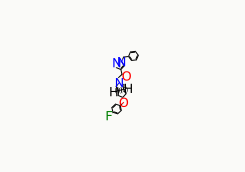 O=C(CN1C[C@H]2CC(Oc3ccc(F)cc3)C[C@H]2C1)c1cnn(Cc2ccccc2)c1